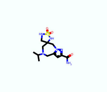 CC(C)N1Cc2cc(C(N)=O)nn2CC2(CNS(=O)(=O)N2)C1